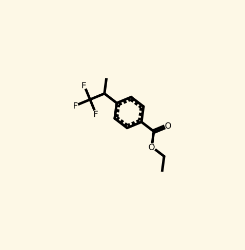 CCOC(=O)c1ccc(C(C)C(F)(F)F)cc1